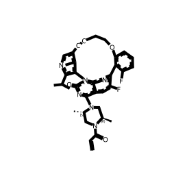 C=CC(=O)N1C[C@H](C)N(c2nc(=O)n3c4nc(c(F)cc24)-c2c(F)cccc2OCCCCc2cnc(C(C)C)c-3c2C)C[C@H]1C